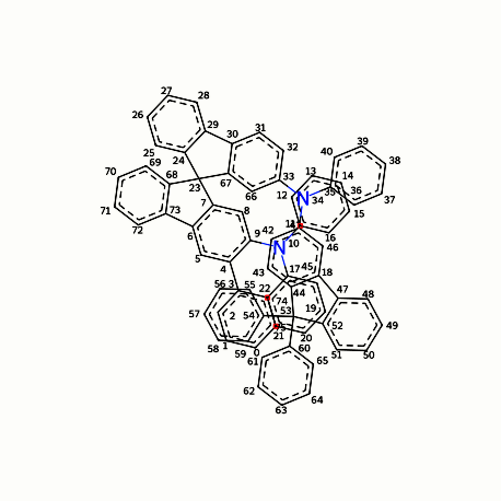 c1ccc(-c2cc3c(cc2N(c2ccccc2)c2ccccc2)C2(c4ccccc4-c4ccc(N(c5ccccc5)c5ccc6c(c5)-c5ccccc5C6(c5ccccc5)c5ccccc5)cc42)c2ccccc2-3)cc1